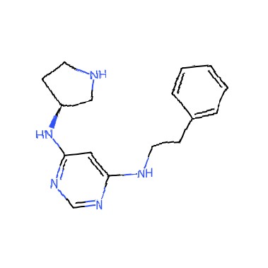 c1ccc(CCNc2cc(N[C@H]3CCNC3)ncn2)cc1